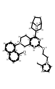 Cc1nccn1CCOc1nc2c(c(C3CC4CCC(C3)N4)n1)CCN(c1cccc3cccc(Cl)c13)C2